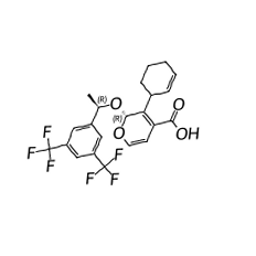 C[C@@H](O[C@H]1OC=CC(C(=O)O)=C1C1C=CCCC1)c1cc(C(F)(F)F)cc(C(F)(F)F)c1